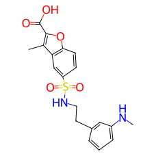 CNc1cccc(CCNS(=O)(=O)c2ccc3oc(C(=O)O)c(C)c3c2)c1